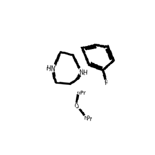 C1CNCCN1.CCCOCCC.Fc1ccccc1